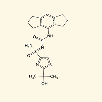 CC(C)(O)c1nc([S@@](N)(=O)=NC(=O)Nc2c3c(cc4c2CCC4)CCC3)cs1